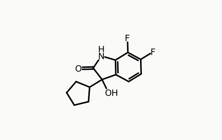 O=C1Nc2c(ccc(F)c2F)C1(O)C1CCCC1